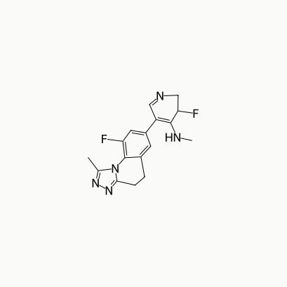 CNC1=C(c2cc(F)c3c(c2)CCc2nnc(C)n2-3)C=NCC1F